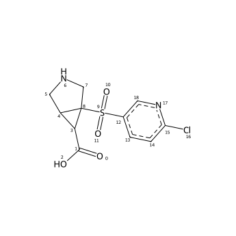 O=C(O)C1C2CNCC21S(=O)(=O)c1ccc(Cl)nc1